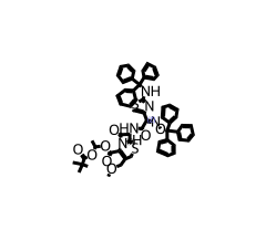 COCC1=C(C(=O)OC(C)OC(=O)C(C)(C)C)N2C(=O)C(NC(=O)/C(=N\OC(c3ccccc3)(c3ccccc3)c3ccccc3)c3csc(NC(c4ccccc4)(c4ccccc4)c4ccccc4)n3)[C@@H]2SC1